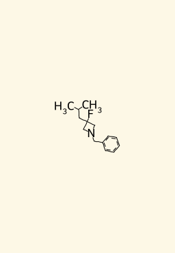 CC(C)CC1(F)CN(Cc2ccccc2)C1